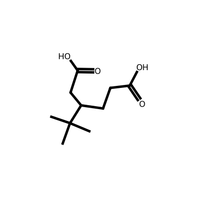 CC(C)(C)C(CCC(=O)O)CC(=O)O